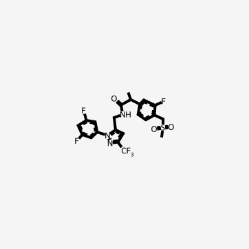 CC(C(=O)NCc1cc(C(F)(F)F)nn1-c1cc(F)cc(F)c1)c1ccc(CS(C)(=O)=O)c(F)c1